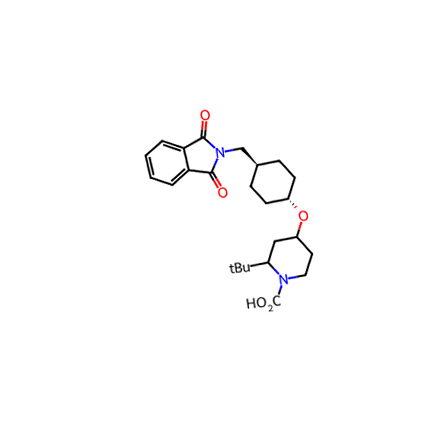 CC(C)(C)C1CC(O[C@H]2CC[C@H](CN3C(=O)c4ccccc4C3=O)CC2)CCN1C(=O)O